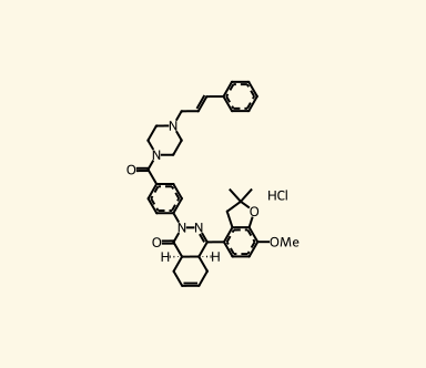 COc1ccc(C2=NN(c3ccc(C(=O)N4CCN(C/C=C/c5ccccc5)CC4)cc3)C(=O)[C@@H]3CC=CC[C@H]23)c2c1OC(C)(C)C2.Cl